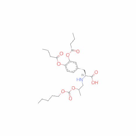 CCCCCOC(=O)OC(C)CN[C@@H](Cc1ccc(OC(=O)CCC)c(OC(=O)CCC)c1)C(=O)O